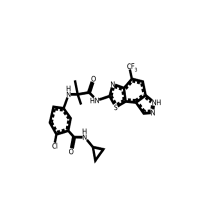 CC(C)(Nc1ccc(Cl)c(C(=O)NC2CC2)c1)C(=O)Nc1nc2c(C(F)(F)F)cc3[nH]ncc3c2s1